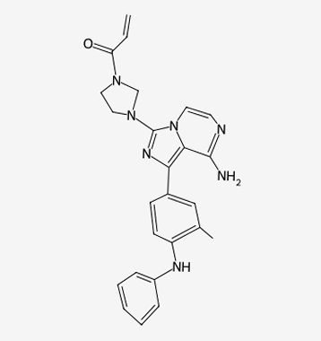 C=CC(=O)N1CCN(c2nc(-c3ccc(Nc4ccccc4)c(C)c3)c3c(N)nccn23)C1